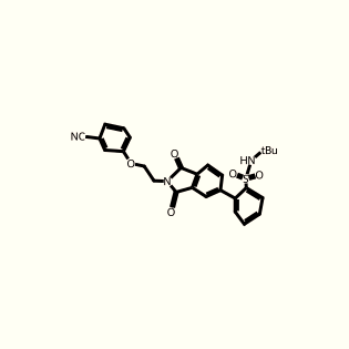 CC(C)(C)NS(=O)(=O)c1ccccc1-c1ccc2c(c1)C(=O)N(CCOc1cccc(C#N)c1)C2=O